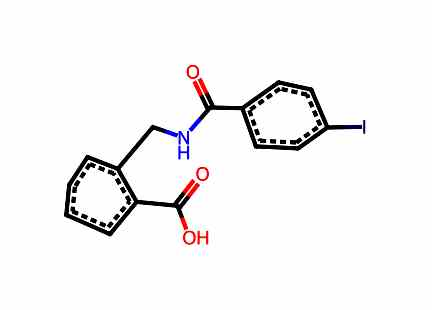 O=C(NCc1ccccc1C(=O)O)c1ccc(I)cc1